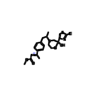 COC(=O)/C=C(\C)c1ccc(CC(C)N2CCOC(O)(c3csc(Cl)n3)C2)cc1